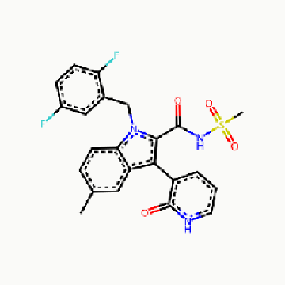 Cc1ccc2c(c1)c(-c1ccc[nH]c1=O)c(C(=O)NS(C)(=O)=O)n2Cc1cc(F)ccc1F